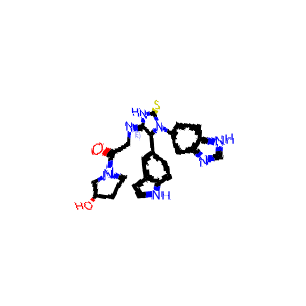 O=C(C/N=C1/NC(=S)N(c2ccc3[nH]cnc3c2)C1c1ccc2[nH]ccc2c1)N1CCC(O)C1